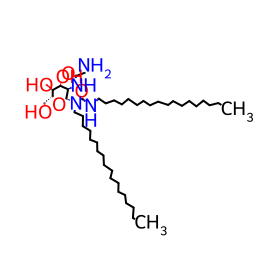 CCCCCCCCCCCCCCCCCCNC(=O)N(CCCCCCCCCCCCCCCCCC)[C@@H]1O[C@H](CO)[C@@H](O)[C@H](O)[C@H]1NC(=O)CN